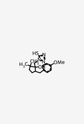 COc1ccc(CC2CCC(C)(C)C2(O)Cn2ncnc2S)cc1